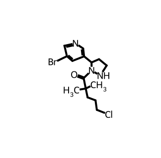 CC(C)(CCCCl)C(=O)N1NCCC1c1cncc(Br)c1